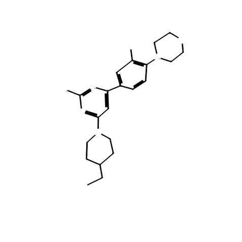 OCC1CCN(c2cc(-c3ccc(N4CCOCC4)c(F)c3)nc(Cl)n2)CC1